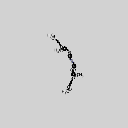 C=CC(=O)OCCCCCCOc1ccc(COOc2ccc(/C=N/N=C/c3ccc(OC(=O)c4ccc(OCCCCCCOC(=O)C=C)c(OC)c4)cc3)cc2)cc1OC